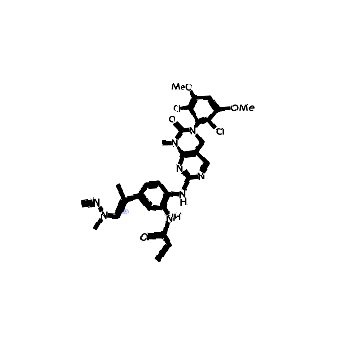 C=CC(=O)Nc1cc(/C(C)=C/N(C)N=C)ccc1Nc1ncc2c(n1)N(C)C(=O)N(c1c(Cl)c(OC)cc(OC)c1Cl)C2